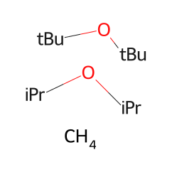 C.CC(C)(C)OC(C)(C)C.CC(C)OC(C)C